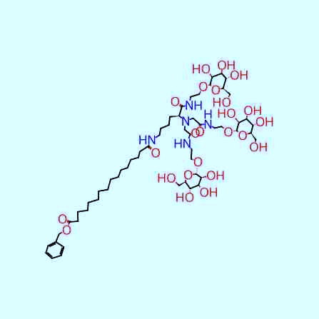 O=C(CCCCCCCCCCCCCCC(=O)OCc1ccccc1)NCCCC[C@@H](C(=O)NCCO[C@H]1O[C@H](CO)[C@@H](O)[C@H](O)[C@@H]1O)N(CC(=O)NCCO[C@H]1O[C@H](CO)[C@@H](O)[C@H](O)[C@@H]1O)CC(=O)NCCO[C@H]1O[C@H](CO)[C@@H](O)[C@H](O)[C@@H]1O